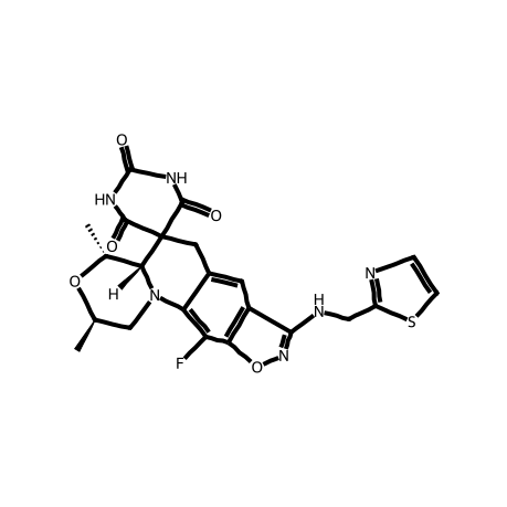 C[C@@H]1CN2c3c(cc4c(NCc5nccs5)noc4c3F)CC3(C(=O)NC(=O)NC3=O)[C@H]2[C@@H](C)O1